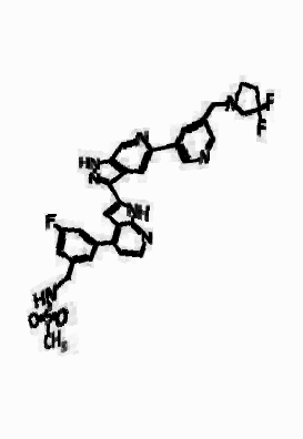 CS(=O)(=O)NCc1cc(F)cc(-c2ccnc3[nH]c(-c4n[nH]c5cnc(-c6cncc(CN7CCC(F)(F)C7)c6)cc45)cc23)c1